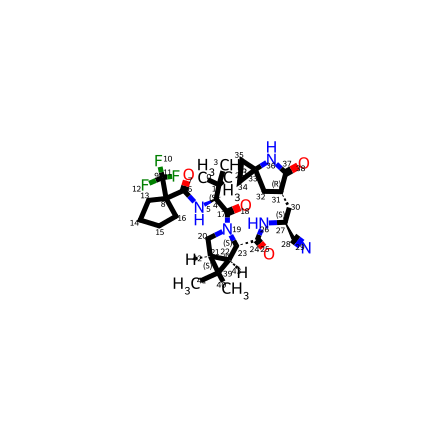 CC(C)(C)[C@H](NC(=O)C1(C(F)(F)F)CCCC1)C(=O)N1C[C@H]2[C@@H]([C@H]1C(=O)N[C@H](C#N)C[C@@H]1CC3(CC3)NC1=O)C2(C)C